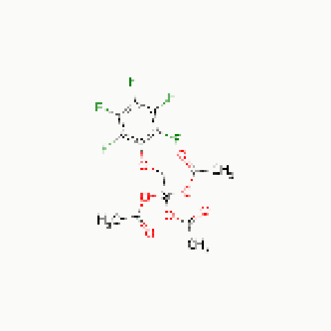 CC(=O)O[Si](COc1c(F)c(F)c(F)c(F)c1F)(OC(C)=O)OC(C)=O